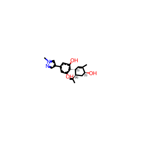 C=C(C)[C@@H]1C[C@H](O)C(C)=C[C@H]1c1c(O)cc(-c2cnn(C)c2)cc1O